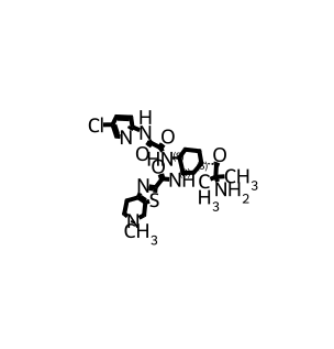 CN1CCc2nc(C(=O)N[C@@H]3C[C@@H](C(=O)C(C)(C)N)CC[C@@H]3NC(=O)C(=O)Nc3ccc(Cl)cn3)sc2C1